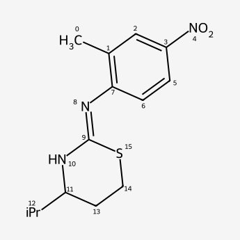 Cc1cc([N+](=O)[O-])ccc1N=C1NC(C(C)C)CCS1